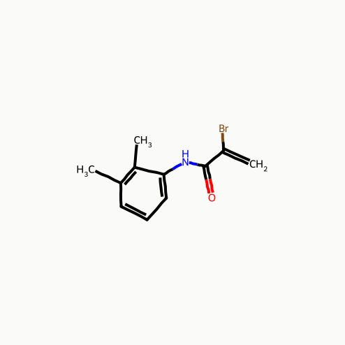 C=C(Br)C(=O)Nc1cccc(C)c1C